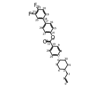 C=CC[C@H]1CC[C@H](c2ccc(C(=O)Oc3ccc(-c4ccc(F)c(F)c4)cc3)cc2)CC1